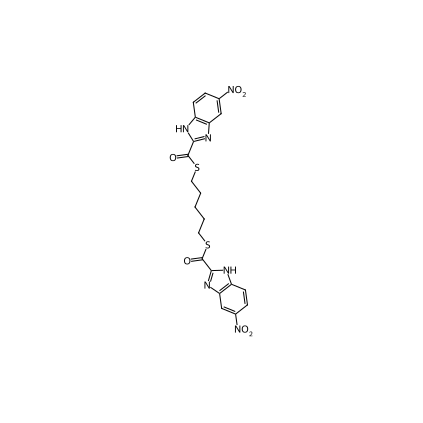 O=C(SCCCCCSC(=O)c1nc2cc([N+](=O)[O-])ccc2[nH]1)c1nc2cc([N+](=O)[O-])ccc2[nH]1